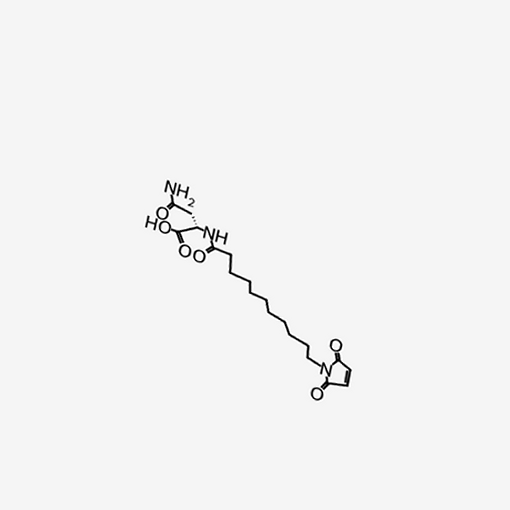 NC(=O)C[C@H](NC(=O)CCCCCCCCCCN1C(=O)C=CC1=O)C(=O)O